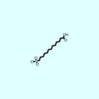 O=C(O)CCCCCCCCCCCC[Si](Cl)(Cl)Cl